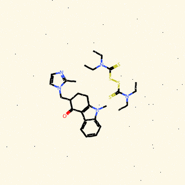 CCN(CC)C(=S)SSC(=S)N(CC)CC.Cc1nccn1CC1CCc2c(c3ccccc3n2C)C1=O